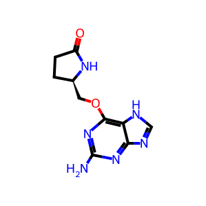 Nc1nc(OC[C@H]2CCC(=O)N2)c2[nH]cnc2n1